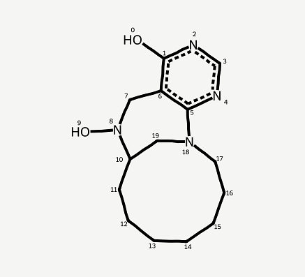 Oc1ncnc2c1CN(O)C1CCCCCCCN2C1